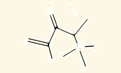 C=C(C)C(=O)C(C)[N+](C)(C)C.[Br-]